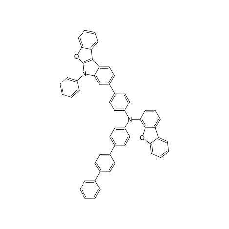 c1ccc(-c2ccc(-c3ccc(N(c4ccc(-c5ccc6c7c8ccccc8oc7n(-c7ccccc7)c6c5)cc4)c4cccc5c4oc4ccccc45)cc3)cc2)cc1